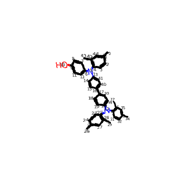 Cc1ccc(N(c2ccc(O)cc2)c2ccc(-c3ccc(N(c4ccc(C)cc4C)c4ccc(C)cc4C)cc3)cc2)c(C)c1